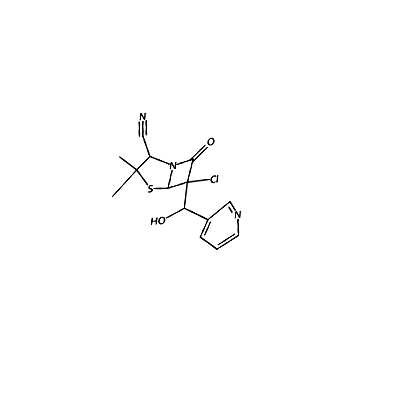 CC1(C)SC2N(C(=O)C2(Cl)C(O)c2cccnc2)C1C#N